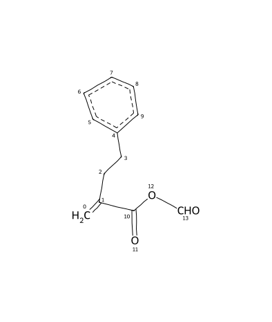 C=C(CCc1ccccc1)C(=O)OC=O